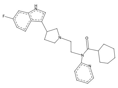 O=C(C1CCCCC1)N(CCN1CCC(c2c[nH]c3cc(F)ccc23)C1)c1ccccn1